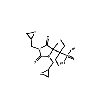 CCC(CC)(C1(C)C(=O)N(CC2CO2)C(=O)N1CC1CO1)P(=O)(O)O